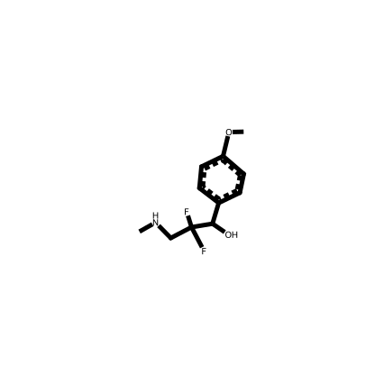 CNCC(F)(F)C(O)c1ccc(OC)cc1